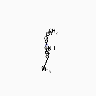 C=CC(=O)OCCCOc1ccc(/C=C/c2ccc(-c3ccc(-c4ccc(CCCCCCCOC)cc4)c(F)c3F)c(C=N)c2)cc1